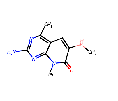 CBc1cc2c(C)nc(N)nc2n(C(C)C)c1=O